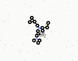 CC1(C)c2cc(N(c3ccccc3)c3cccc4ccccc34)ccc2-c2ccc(N(c3ccc(-c4ccc5c6ccccc6c6ccccc6c5c4)cc3)c3ccc(-c4cccc5c4sc4ccccc45)c4ccccc34)cc21